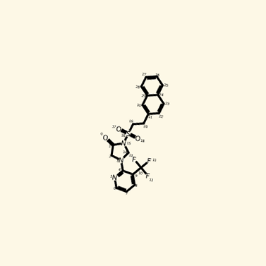 O=C1CN(c2ncccc2C(F)(F)F)CN1S(=O)(=O)CCc1ccc2ccccc2c1